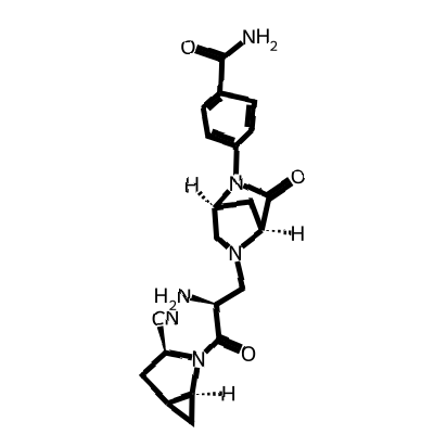 N#C[C@@H]1CC2C[C@@H]2N1C(=O)[C@@H](N)CN1C[C@@H]2C[C@H]1C(=O)N2c1ccc(C(N)=O)cc1